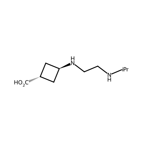 CC(C)NCCN[C@H]1C[C@H](C(=O)O)C1